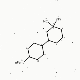 CCCCCC1CCC(C2CCCC(C#N)(CCC)C2)CC1